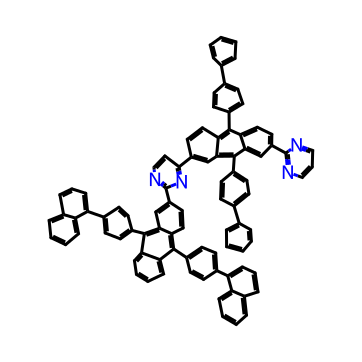 c1ccc(-c2ccc(-c3c4ccc(-c5ccnc(-c6ccc7c(-c8ccc(-c9cccc%10ccccc9%10)cc8)c8ccccc8c(-c8ccc(-c9cccc%10ccccc9%10)cc8)c7c6)n5)cc4c(-c4ccc(-c5ccccc5)cc4)c4cc(-c5ncccn5)ccc34)cc2)cc1